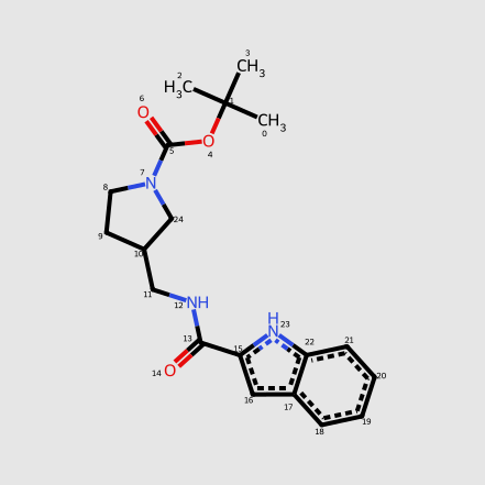 CC(C)(C)OC(=O)N1CCC(CNC(=O)c2cc3ccccc3[nH]2)C1